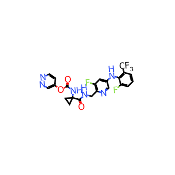 O=C(NC1(C(=O)NCc2ncc(Nc3c(F)cccc3C(F)(F)F)cc2F)CC1)Oc1ccnnc1